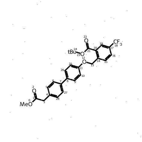 COC(=O)Cc1ccc(-c2ccc(OCc3ccc(C(F)(F)F)cc3C(=O)OC(C)(C)C)cc2)cc1